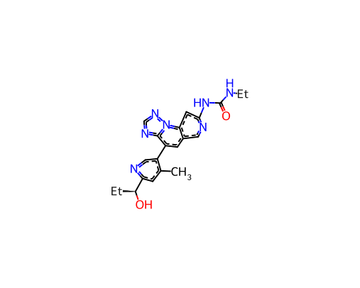 CCNC(=O)Nc1cc2c(cn1)cc(-c1cnc([C@@H](O)CC)cc1C)c1ncnn12